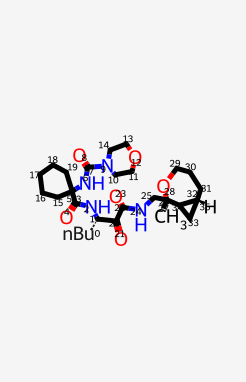 CCCC[C@H](NC(=O)C1(NC(=O)N2CCOCC2)CCCCC1)C(=O)C(=O)NCC1(C)OCCC[C@@H]2CC21